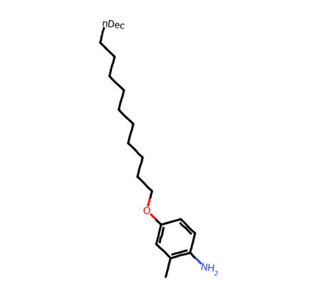 CCCCCCCCCCCCCCCCCCCCOc1ccc(N)c(C)c1